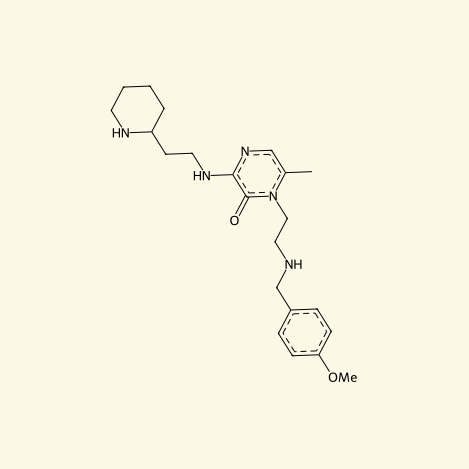 COc1ccc(CNCCn2c(C)cnc(NCCC3CCCCN3)c2=O)cc1